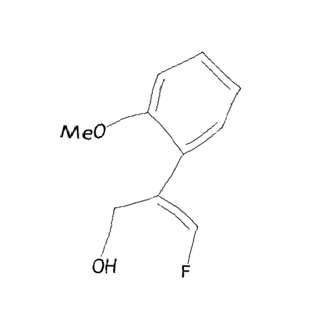 COc1ccccc1C(=CF)CO